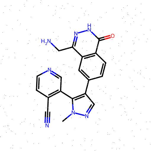 Cn1ncc(-c2ccc3c(=O)[nH]nc(CN)c3c2)c1-c1cnccc1C#N